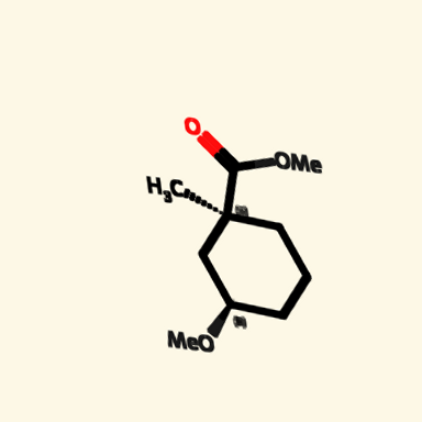 COC(=O)[C@@]1(C)CCC[C@@H](OC)C1